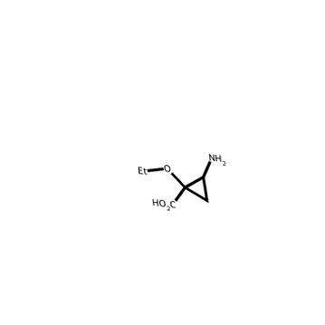 CCOC1(C(=O)O)CC1N